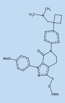 COOSc1nn(-c2ccc(OC)cc2)c2c1CCN(c1ccc(C3(CN(C)C)CCC3)cc1)C2=O